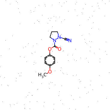 COc1ccc(OC(=O)N2CCCN2C#N)cc1